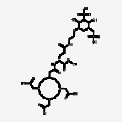 CNC(=O)[C@@H](CCC(=O)NCCOC1OC(CS(=O)(=O)O)C(O)C(S(=O)(=O)O)C1O)NC(=O)CN1CCN(CC(=O)O)CCN(CC(=O)O)CCN(CC(=O)O)CC1